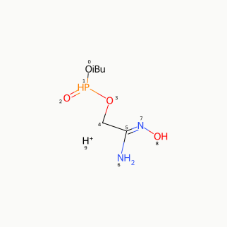 CC(C)CO[PH](=O)OCC(N)=NO.[H+]